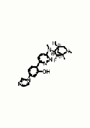 CN(c1ccc(-c2ccc(-n3ccnc3)cc2O)nn1)[C@H]1[C@@H]2CN(C)[C@@](C)(C2)[C@@H]1F